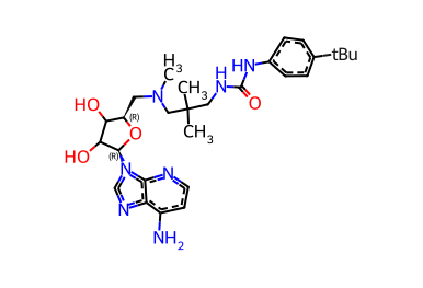 CN(C[C@H]1O[C@@H](n2cnc3c(N)ccnc32)C(O)C1O)CC(C)(C)CNC(=O)Nc1ccc(C(C)(C)C)cc1